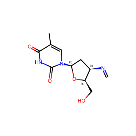 C=N[C@@H]1C[C@H](n2cc(C)c(=O)[nH]c2=O)O[C@@H]1CO